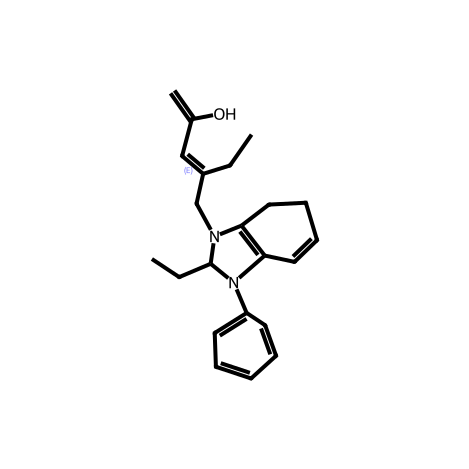 C=C(O)/C=C(\CC)CN1C2=C(C=CCC2)N(c2ccccc2)C1CC